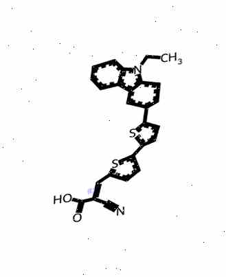 CCn1c2ccccc2c2cc(-c3ccc(-c4ccc(/C=C(\C#N)C(=O)O)s4)s3)ccc21